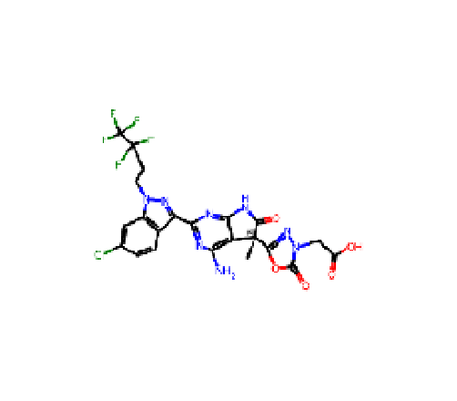 C[C@]1(c2nn(CC(=O)O)c(=O)o2)C(=O)Nc2nc(-c3nn(CCC(F)(F)C(F)(F)F)c4cc(Cl)ccc34)nc(N)c21